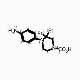 CCC1(CC)CN(C(=O)O)CCN1c1ccc(N)cc1